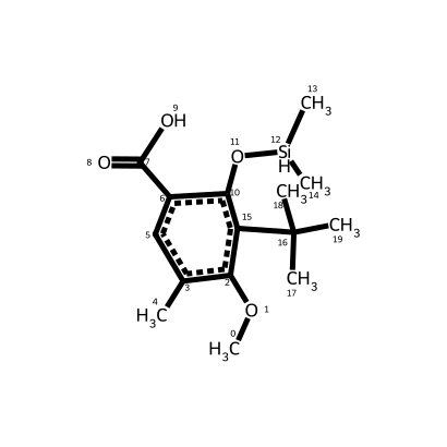 COc1c(C)cc(C(=O)O)c(O[SiH](C)C)c1C(C)(C)C